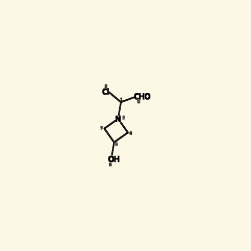 O=CC(Cl)N1CC(O)C1